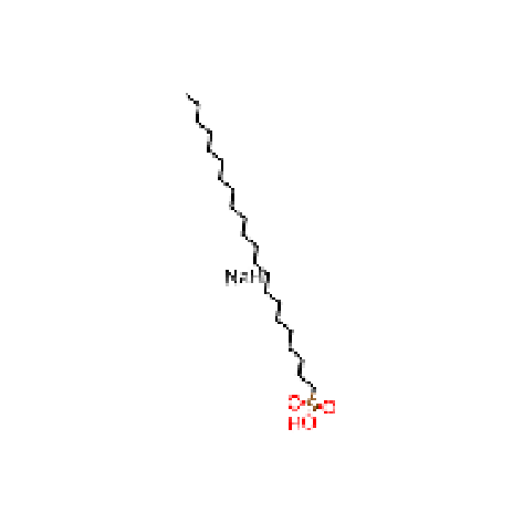 CCCCCCCCCCCCCCCCCCCC=CCS(=O)(=O)O.[NaH]